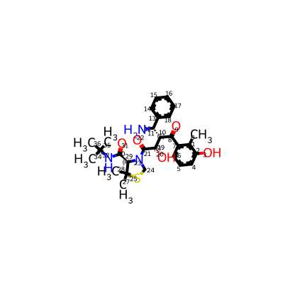 Cc1c(O)cccc1C(=O)[C@@H](C(N)c1ccccc1)[C@H](O)C(=O)N1CSC(C)(C)[C@H]1C(=O)NC(C)(C)C